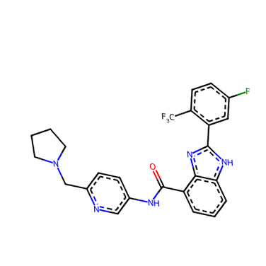 O=C(Nc1ccc(CN2CCCC2)nc1)c1cccc2[nH]c(-c3cc(F)ccc3C(F)(F)F)nc12